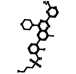 Cc1cc(-c2cccc(NS(=O)(=O)CCCF)c2F)cc2c(N3CCOCC3)nc(-c3ccnc(N)n3)nc12